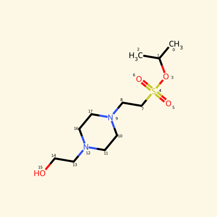 CC(C)OS(=O)(=O)CCN1CCN(CCO)CC1